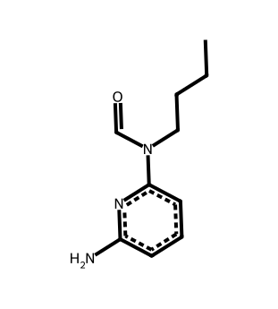 CCCCN(C=O)c1cccc(N)n1